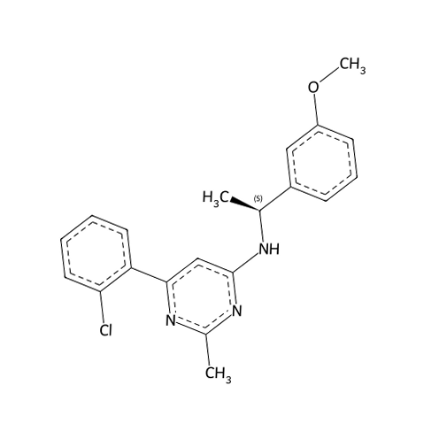 COc1cccc([C@H](C)Nc2cc(-c3ccccc3Cl)nc(C)n2)c1